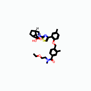 CCOCCN(C)C(=O)c1ccc(COc2ccc(C)cc2-c2csc(N3CC4CC[C@@H](C3)[C@H]4C(=O)O)n2)c(C)c1